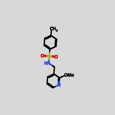 COc1ncccc1CNS(=O)(=O)c1ccc(C)cc1